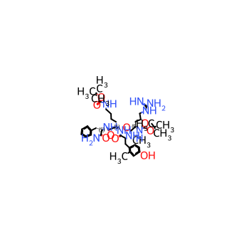 Cc1cc(O)cc(C)c1CC(NC(=O)[C@@H](CCCNC(=N)N)NC(=O)OC(C)(C)C)C(=O)N[C@@H](CCCCNC(=O)OC(C)(C)C)C(=O)N[C@@H](Cc1ccccc1)C(N)=O